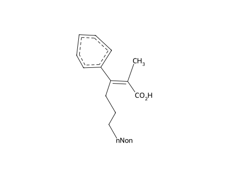 CCCCCCCCCCCCC(=C(C)C(=O)O)c1ccccc1